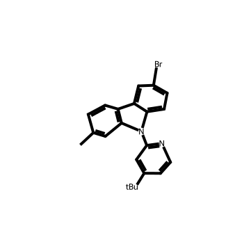 Cc1ccc2c3cc(Br)ccc3n(-c3cc(C(C)(C)C)ccn3)c2c1